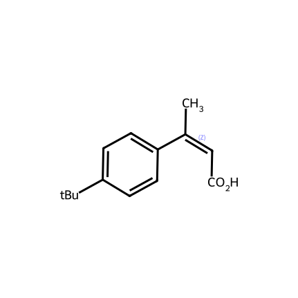 C/C(=C/C(=O)O)c1ccc(C(C)(C)C)cc1